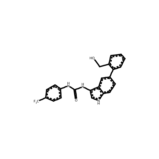 O=C(Nc1ccc(C(F)(F)F)cc1)Nc1c[nH]c2ccc(-c3ccccc3CO)cc12